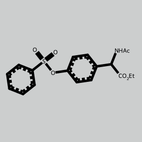 CCOC(=O)C(NC(C)=O)c1ccc(OS(=O)(=O)c2ccccc2)cc1